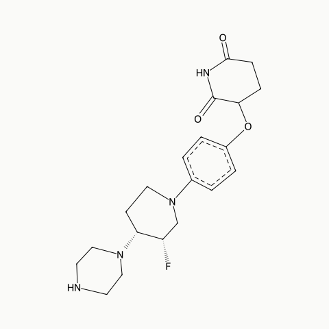 O=C1CCC(Oc2ccc(N3CC[C@@H](N4CCNCC4)[C@@H](F)C3)cc2)C(=O)N1